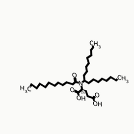 CCCCCCCCCCCC(=O)N(C(CCCCCCCC)CCCCCCCCC)[C@@H](CCC(=O)O)C(=O)O